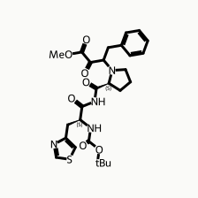 COC(=O)C(=O)C(Cc1ccccc1)N1CCC[C@H]1C(=O)NC(=O)[C@H](Cc1cscn1)NC(=O)OC(C)(C)C